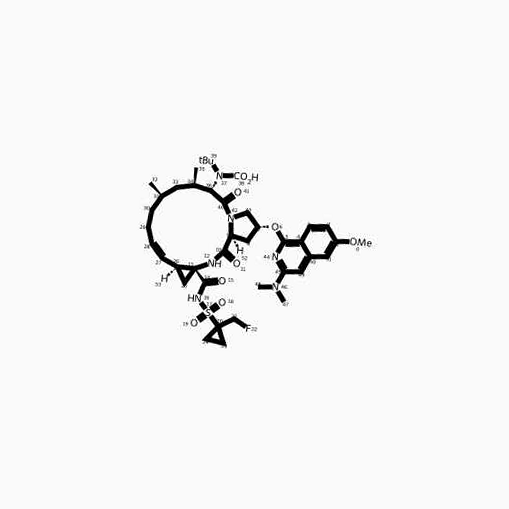 COc1ccc2c(O[C@@H]3C[C@H]4C(=O)N[C@]5(C(=O)NS(=O)(=O)C6(CF)CC6)C[C@H]5/C=C\CC[C@@H](C)C[C@@H](C)[C@H](N(C(=O)O)C(C)(C)C)C(=O)N4C3)nc(N(C)C)cc2c1